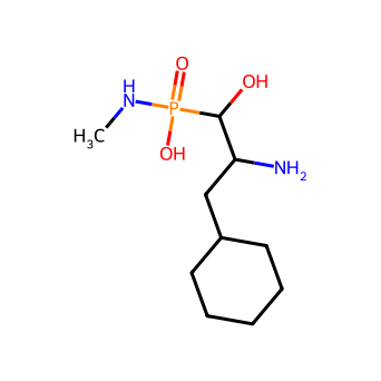 CNP(=O)(O)C(O)C(N)CC1CCCCC1